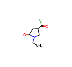 CCN1CC(C(=O)Cl)CC1=O